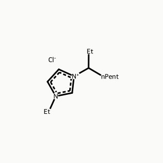 CCCCCC(CC)[n+]1ccn(CC)c1.[Cl-]